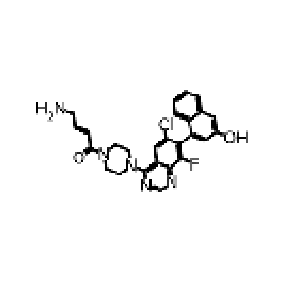 NCC=CC(=O)N1CCN(c2ncnc3c(F)c(-c4cc(O)cc5ccccc45)c(Cl)cc23)CC1